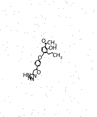 CCCc1c(COc2ccc(C(=O)Cc3nnn[nH]3)cc2)ccc(C(C)=O)c1O